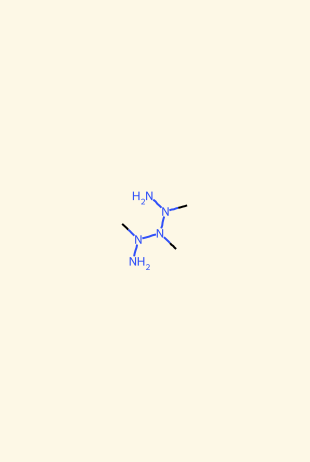 CN(N)N(C)N(C)N